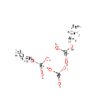 O=[Si]([O-])[O-].O=[Si]([O-])[O-].O=[Si]([O-])[O-].[AlH3].[AlH3].[CaH2].[CaH2].[Fe+3].[Fe+3]